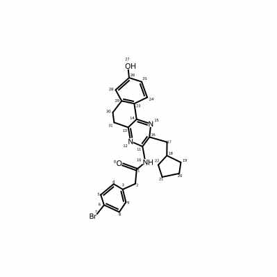 O=C(Cc1ccc(Br)cc1)Nc1nc2c(nc1CC1CCCC1)-c1ccc(O)cc1CC2